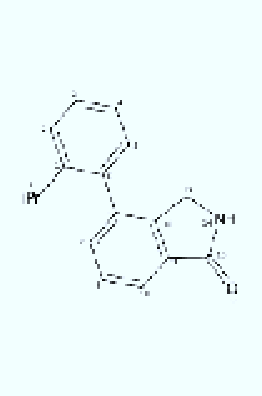 CC(C)c1ccccc1-c1cccc2c1CNC2=O